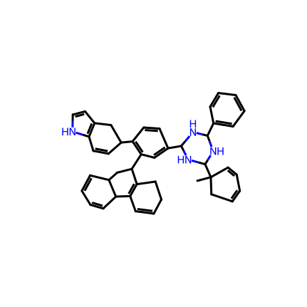 CC1(C2NC(c3ccccc3)NC(c3ccc(C4C=Cc5[nH]ccc5C4)c(C4CC5C=CC=CC5C5=C4CCC=C5)c3)N2)C=CC=CC1